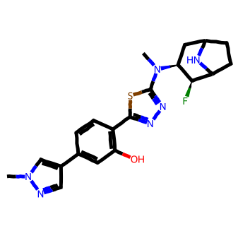 CN(c1nnc(-c2ccc(-c3cnn(C)c3)cc2O)s1)[C@H]1CC2CCC(N2)[C@H]1F